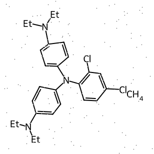 C.CCN(CC)c1ccc(N(c2ccc(N(CC)CC)cc2)c2ccc(Cl)cc2Cl)cc1